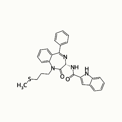 CSCCCN1C(=O)[C@@H](NC(=O)c2cc3ccccc3[nH]2)N=C(c2ccccc2)c2ccccc21